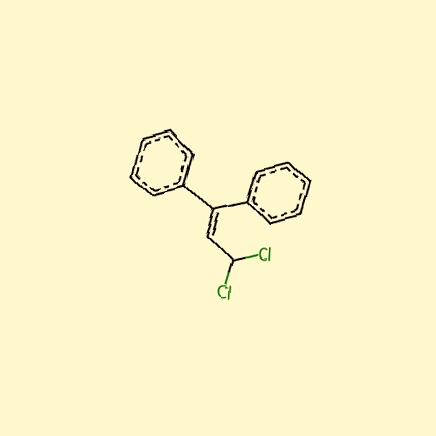 ClC(Cl)C=C(c1ccccc1)c1ccccc1